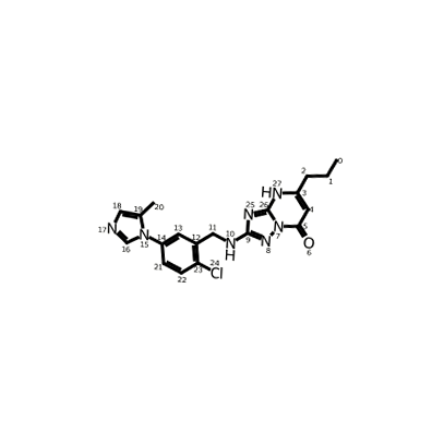 CCCc1cc(=O)n2nc(NCc3cc(-n4cncc4C)ccc3Cl)nc2[nH]1